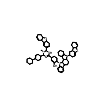 CN1C(C2=CCC3SC4CCC=CC4C3=C2)NC(C2C=C(N)C(N3c4ccccc4C4CCC5C(C6=C(CCCC6)N5C5CC=C6SC7C=CCCC7C6C5)C43)CC2)=NC1C1CC=C(C2CCCCC2)CC1